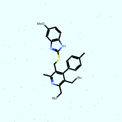 COc1ccc2[nH]c(SCc3c(C)nc(CC(C)(C)C)c([CH]C(C)(C)C)c3-c3ccc(C)cc3)nc2c1